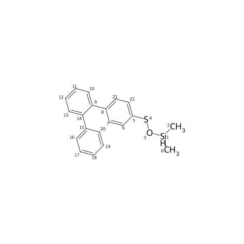 C[SiH](C)OSc1ccc(-c2ccccc2-c2ccccc2)cc1